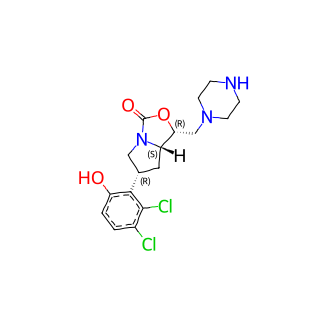 O=C1O[C@H](CN2CCNCC2)[C@@H]2C[C@H](c3c(O)ccc(Cl)c3Cl)CN12